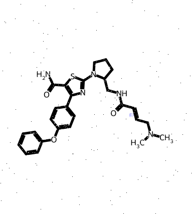 CN(C)C/C=C/C(=O)NCC1CCCN1c1nc(-c2ccc(Oc3ccccc3)cc2)c(C(N)=O)s1